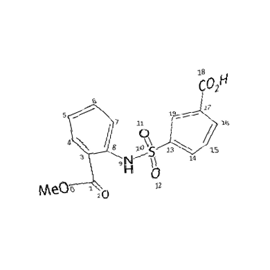 COC(=O)c1ccccc1NS(=O)(=O)c1cccc(C(=O)O)c1